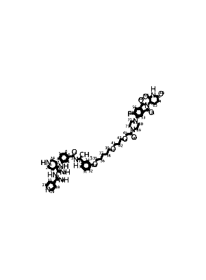 C[C@@H](NC(=O)c1cccc(NC2(C(=N)NC(=N)c3ccncc3)CCNCC2)c1)c1cccc(OCCCCCOCCCOCC(=O)N2CCN(c3cc4c(cc3F)C(=O)N(C3CCC(=O)NC3=O)C4=O)CC2)c1